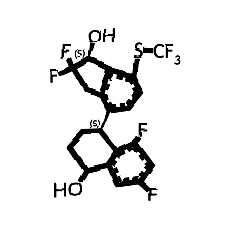 OC1CC[C@@H](c2ccc(SC(F)(F)F)c3c2CC(F)(F)[C@H]3O)c2c(F)cc(F)cc21